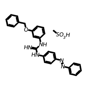 CS(=O)(=O)O.N=C(Nc1ccc(N=Nc2ccccc2)cc1)Nc1cccc(OCc2ccccc2)c1